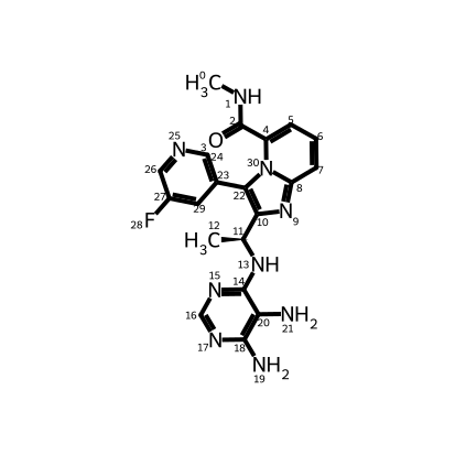 CNC(=O)c1cccc2nc([C@H](C)Nc3ncnc(N)c3N)c(-c3cncc(F)c3)n12